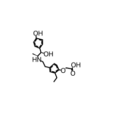 CCc1cc(CCN[C@@H](C)[C@H](O)c2ccc(O)cc2)ccc1OCC(=O)O